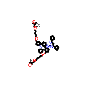 CCC1(COCCCCCOCc2ccc3c(c2)c2c(ccc4c5cc(COCCCCCOCC6(CC)COC6)ccc5n(-c5ccccc5)c42)n3-c2nc(-c3ccccc3)cc(-c3ccccc3)n2)COC1